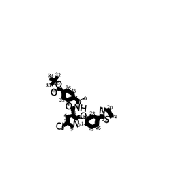 C[C@H](NC(=O)c1cc(Cl)cnc1Oc1cccc(-c2nccs2)c1)c1ccc(C(=O)OC(C)(C)C)cc1